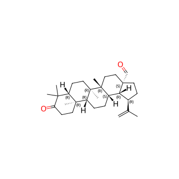 C=C(C)[C@@H]1CC[C@]2(C=O)CC[C@]3(C)[C@@H](CC[C@@H]4[C@@]5(C)CCC(=O)C(C)(C)[C@@H]5CC[C@]43C)[C@@H]12